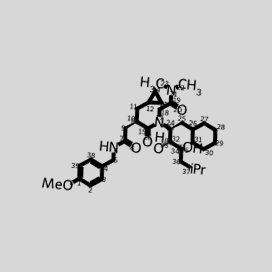 COc1ccc(CNC(=O)C[C@@H](CC2CC2)C(=O)N(CC(=O)N(C)C)[C@@H](CC2CCCCC2)[C@@H](O)[C@@H](O)CC(C)C)cc1